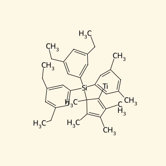 CCc1cc(CC)cc([Si](c2cc(C)cc(C)c2)(c2cc(CC)cc(CC)c2)C2(C)C(C)=C(C)C(C)=[C]2[Ti])c1